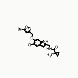 CC1(C(=O)NCc2cc3cc(Cl)c(OCc4cc(Br)on4)cc3[nH]2)CC1